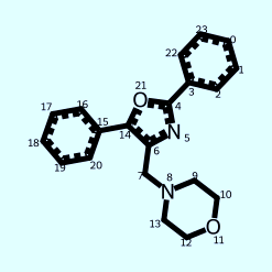 c1ccc(-c2nc(CN3CCOCC3)c(-c3ccccc3)o2)cc1